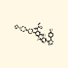 C=CC(=O)Nc1cc(Nc2cc(N3OCC[C@@H]3c3ccc(Cl)cc3)ncn2)c(OC)cc1N1CCC(N2CCN(C3CCC3)CC2)CC1